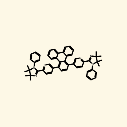 CC1(C)N=C(c2ccc(-c3ccc(-c4ccc(C5=NC(C)(C)C(C)(C)N5c5ccccc5)nc4)c4c5ccccc5c5ccccc5c34)cn2)N(c2ccccc2)C1(C)C